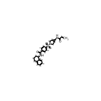 C=CC(=O)NC1C2CN(S(=O)(=O)c3ccc(C(=O)NC4CCCc5ccccc54)cc3)CC21